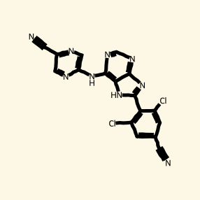 N#Cc1cc(Cl)c(-c2nc3ncnc(Nc4cnc(C#N)cn4)c3[nH]2)c(Cl)c1